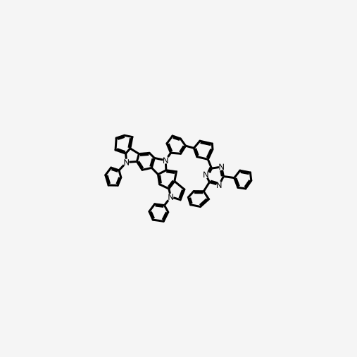 c1ccc(-c2nc(-c3ccccc3)nc(-c3cccc(-c4cccc(-n5c6cc7ccn(-c8ccccc8)c7cc6c6cc7c(cc65)c5ccccc5n7-c5ccccc5)c4)c3)n2)cc1